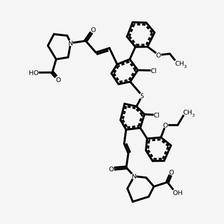 CCOc1ccccc1-c1c(/C=C/C(=O)N2CCCC(C(=O)O)C2)ccc(Sc2ccc(/C=C/C(=O)N3CCCC(C(=O)O)C3)c(-c3ccccc3OCC)c2Cl)c1Cl